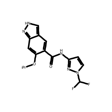 CC(C)Oc1cc2n[nH]cc2cc1C(=O)Nc1ccn(C(F)F)n1